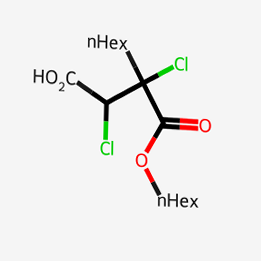 CCCCCCOC(=O)C(Cl)(CCCCCC)C(Cl)C(=O)O